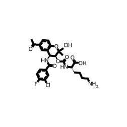 CC(=O)c1ccc2c(c1)[C@H](NC(=O)c1ccc(F)c(Cl)c1)[C@H](OC(=O)N[C@@H](CCCCN)C(=O)O)C(C)(C)O2.Cl